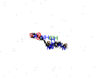 Cl.O=C(OC1CNC(C#Cc2cc3ncnc(Nc4ccc5c(ccn5Cc5cscn5)c4)c3s2)C1)N1CCOCC1